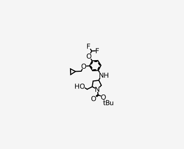 CC(C)(C)OC(=O)N1CC(Nc2ccc(OC(F)F)c(OCC3CC3)c2)CC1CO